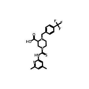 Cc1cc(C)nc(NC(=S)N2CCN(Cc3ccc(C(F)(F)F)cc3)C(C(=O)O)C2)c1